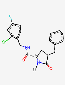 CCN1C(=O)C(Cc2ccccc2)C[C@H]1C(=O)NCc1ccc(F)cc1Cl